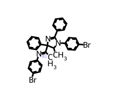 C/C(=N\c1ccc(Br)cc1)C1(c2ccccc2)N=C(c2ccccc2)N(c2ccc(Br)cc2)C1C